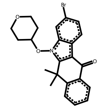 CC1(C)c2ccccc2C(=O)c2c1n(OC1CCOCC1)c1cc(Br)ccc21